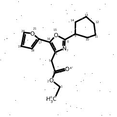 CCOC(=O)Cc1nc(C2CCCCC2)oc1-c1ccco1